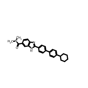 CN(C)C(=O)c1ccc2nc(-c3ccc(-c4ccc(C5CCCCC5)cc4)cc3)[nH]c2c1